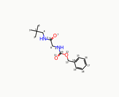 CC(C)(C)CNC(=O)CNC(=O)OCc1ccccc1